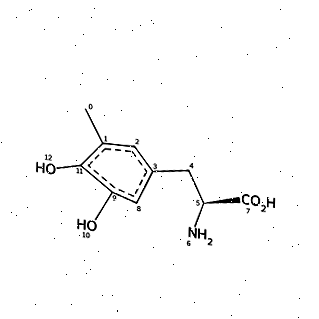 Cc1cc(C[C@H](N)C(=O)O)cc(O)c1O